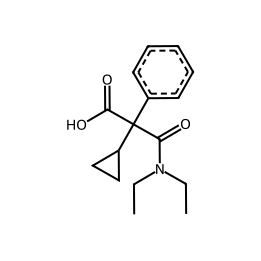 CCN(CC)C(=O)C(C(=O)O)(c1ccccc1)C1CC1